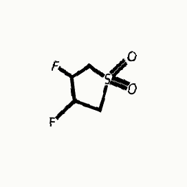 O=S1(=O)CC(F)C(F)C1